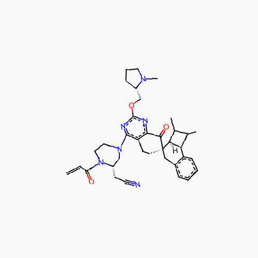 C=CC(=O)N1CCN(c2nc(OC[C@@H]3CCCN3C)nc3c2CC[C@]2(Cc4ccccc4C4C(C)C(C)[C@@H]42)C3=O)C[C@@H]1CC#N